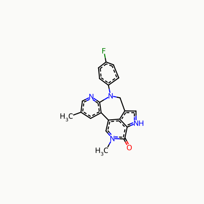 Cc1cnc2c(c1)-c1cn(C)c(=O)c3[nH]cc(c13)CN2c1ccc(F)cc1